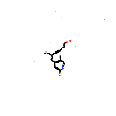 Cc1cnc(Cl)cc1/C=C(\C#CCCO)C(C)(C)C